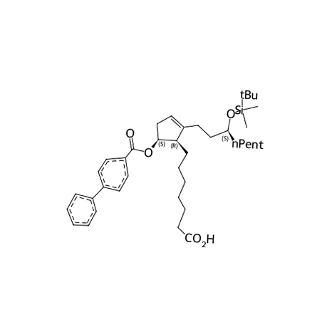 CCCCC[C@@H](CCC1=CC[C@H](OC(=O)c2ccc(-c3ccccc3)cc2)[C@@H]1CCCCCCC(=O)O)O[Si](C)(C)C(C)(C)C